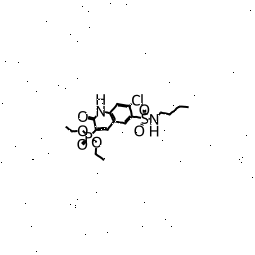 CCCCNS(=O)(=O)c1cc2cc(P(=O)(OCC)OCC)c(=O)[nH]c2cc1Cl